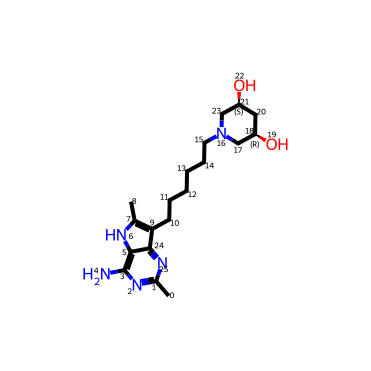 Cc1nc(N)c2[nH]c(C)c(CCCCCCN3C[C@H](O)C[C@H](O)C3)c2n1